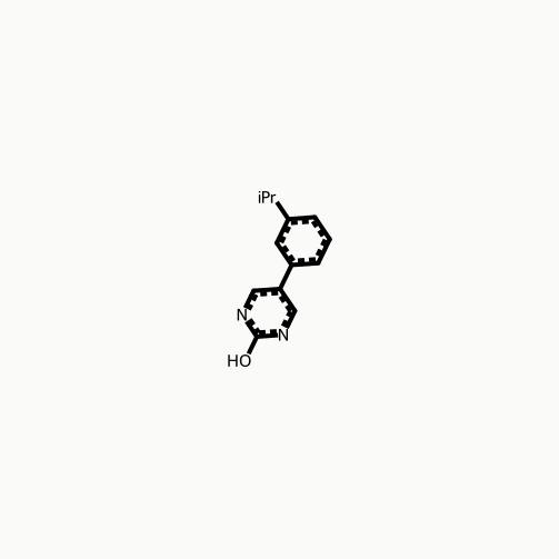 CC(C)c1cccc(-c2cnc(O)nc2)c1